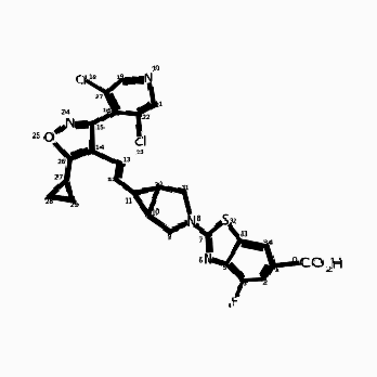 O=C(O)c1cc(F)c2nc(N3CC4C(/C=C/c5c(-c6c(Cl)cncc6Cl)noc5C5CC5)C4C3)sc2c1